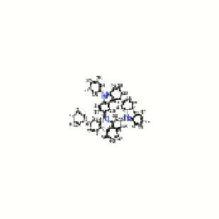 c1ccc(-c2cccc(N(c3ccc4c(c3)c3ccccc3n4-c3ccccc3)c3cc(-n4c5ccccc5c5ccccc54)cc4ccccc34)c2)cc1